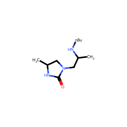 CCCCNC(C)CN1CC(C)NC1=O